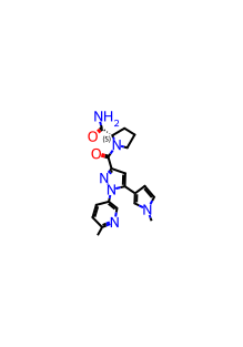 Cc1ccc(-n2nc(C(=O)N3CCC[C@H]3C(N)=O)cc2-c2ccn(C)c2)cn1